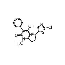 Cn1c2[n+](c(O)c(-c3ccccc3)c1=O)[C@@H](c1cnc(Cl)s1)CC2